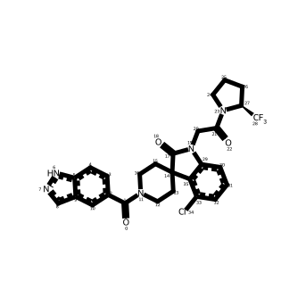 O=C(c1ccc2[nH]ncc2c1)N1CCC2(CC1)C(=O)N(CC(=O)N1CCC[C@H]1C(F)(F)F)c1cccc(Cl)c12